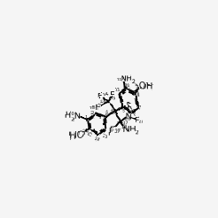 Nc1cc(C(c2ccc(O)c(N)c2)(C(F)(F)F)C(N)(F)N(F)F)ccc1O